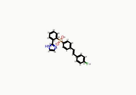 O=S(=O)(c1ccc(C=Cc2ccc(F)cc2)cc1)c1ccccc1-c1ncc[nH]1